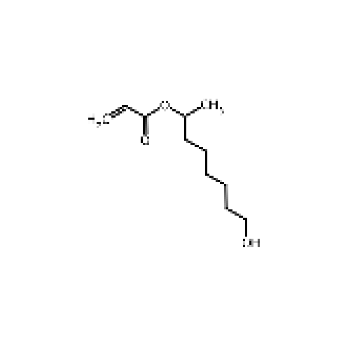 C=CC(=O)OC(C)CCCCCCO